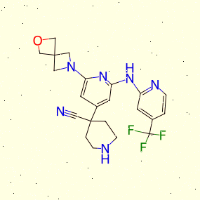 N#CC1(c2cc(Nc3cc(C(F)(F)F)ccn3)nc(N3CC4(COC4)C3)c2)CCNCC1